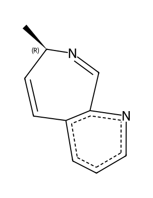 C[C@@H]1C=Cc2cccnc2C=N1